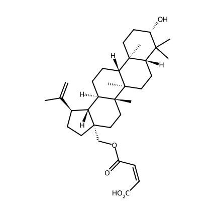 C=C(C)[C@@H]1CC[C@]2(COC(=O)/C=C\C(=O)O)CC[C@]3(C)[C@H](CC[C@@H]4[C@@]5(C)CC[C@H](O)C(C)(C)[C@@H]5CC[C@]43C)[C@@H]12